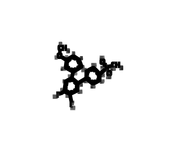 COc1cccc(-c2cc(F)c(F)cc2-c2ccc(S(C)(=O)=O)cc2)c1